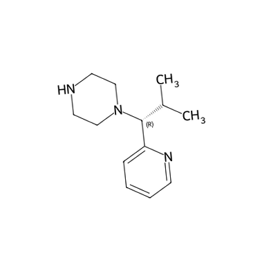 CC(C)[C@H](c1ccccn1)N1CCNCC1